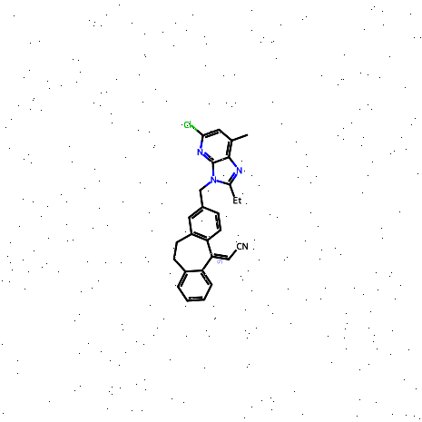 CCc1nc2c(C)cc(Cl)nc2n1Cc1ccc2c(c1)CCc1ccccc1/C2=C/C#N